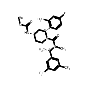 Cc1cc(F)ccc1[C@H]1C[C@@H](NC(=O)OC(C)(C)C)CCN1C(=O)N(C)[C@@H](C)c1cc(C(F)(F)F)cc(C(F)(F)F)c1